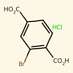 Cl.O=C(O)c1ccc(C(=O)O)c(Br)c1